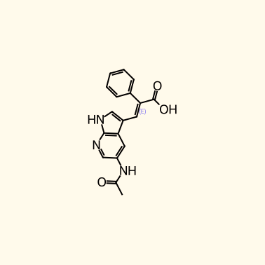 CC(=O)Nc1cnc2[nH]cc(/C=C(/C(=O)O)c3ccccc3)c2c1